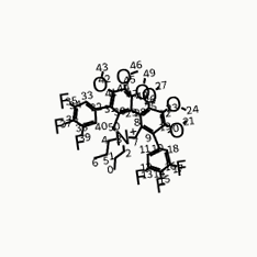 CCC[N+]1(CCC)Cc2c(-c3cc(F)c(F)c(F)c3)c(OC)c(OC)c(OC)c2-c2c(c(-c3cc(F)c(F)c(F)c3)c(OC)c(OC)c2OC)C1